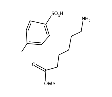 COC(=O)CCCCCN.Cc1ccc(S(=O)(=O)O)cc1